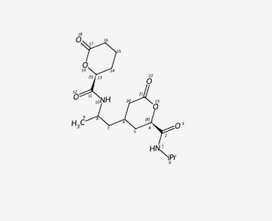 CC(C)NC(=O)[C@H]1CC(CC(C)NC(=O)[C@@H]2CCCC(=O)O2)CC(=O)O1